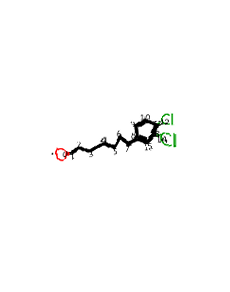 [O]CCCCCCCc1ccc(Cl)c(Cl)c1